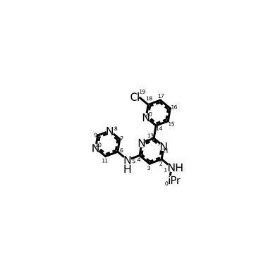 CC(C)Nc1cc(Nc2cncnc2)nc(-c2cccc(Cl)n2)n1